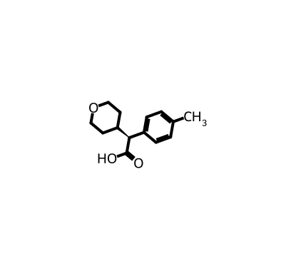 Cc1ccc([C@@H](C(=O)O)C2CCOCC2)cc1